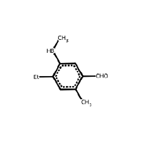 CBc1cc(C=O)c(C)cc1CC